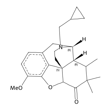 COc1ccc2c3c1OC1C(=O)C(C)(C)C(C)[C@H]4[C@@H](C2)N(CC2CC2)CC[C@]314